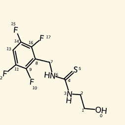 OCCNC(=S)NCc1c(F)c(F)cc(F)c1F